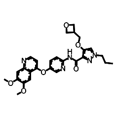 CCCn1cc(OCC2COC2)c(C(=O)Nc2ccc(Oc3ccnc4cc(OC)c(OC)cc34)cn2)n1